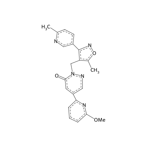 COc1cccc(-c2cnn(Cc3c(-c4ccc(C)nc4)noc3C)c(=O)c2)n1